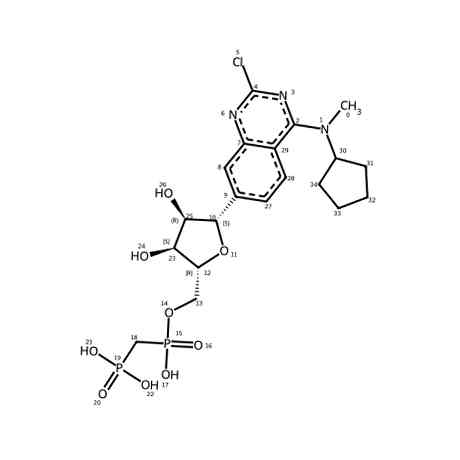 CN(c1nc(Cl)nc2cc([C@@H]3O[C@H](COP(=O)(O)CP(=O)(O)O)[C@@H](O)[C@H]3O)ccc12)C1CCCC1